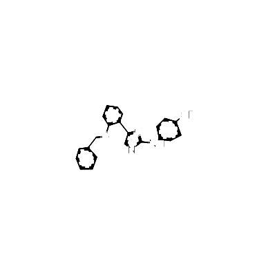 FC(F)(F)c1ccc(Nc2ncc(-c3ccccc3OCc3ccccc3)o2)cc1